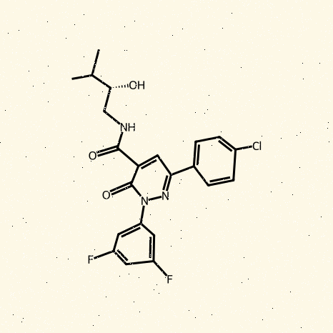 CC(C)[C@H](O)CNC(=O)c1cc(-c2ccc(Cl)cc2)nn(-c2cc(F)cc(F)c2)c1=O